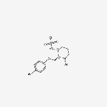 CCS(=O)(=O)N[C@@H]1CCCN(C(C)=O)[C@H]1COc1ccc(C(C)C)cc1